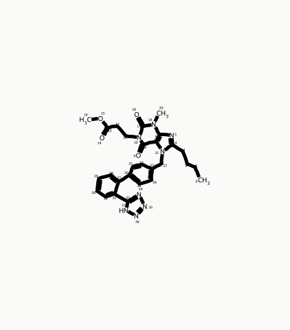 CCCCc1nc2c(c(=O)n(CCC(=O)OC)c(=O)n2C)n1Cc1ccc(-c2ccccc2-c2nnn[nH]2)cc1